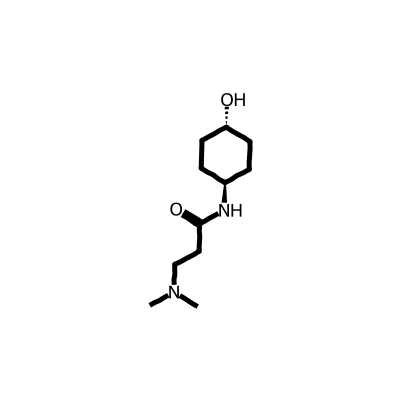 CN(C)CCC(=O)N[C@H]1CC[C@H](O)CC1